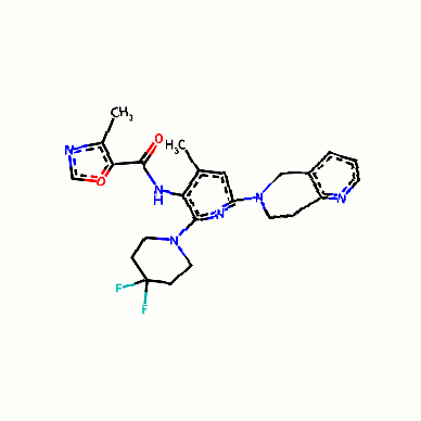 Cc1cc(N2CCc3ncccc3C2)nc(N2CCC(F)(F)CC2)c1NC(=O)c1ocnc1C